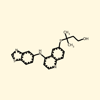 CC(C)(CCO)Sc1ccc2nccc(Nc3ccc4scnc4c3)c2c1